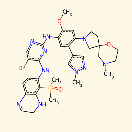 COc1cc(N2CCC3(CN(C)CCO3)C2)c(-c2cnn(C)c2)cc1Nc1ncc(Br)c(Nc2ccc3c(c2P(C)(C)=O)NCC=N3)n1